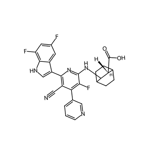 N#Cc1c(-c2c[nH]c3c(F)cc(F)cc23)nc(NC2C3CCC(CC3)[C@H]2C(=O)O)c(F)c1-c1cccnc1